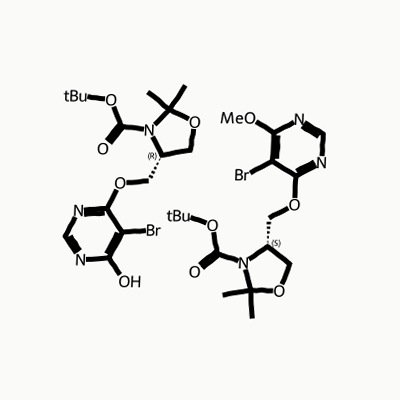 CC(C)(C)OC(=O)N1[C@@H](COc2ncnc(O)c2Br)COC1(C)C.COc1ncnc(OC[C@@H]2COC(C)(C)N2C(=O)OC(C)(C)C)c1Br